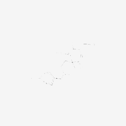 CCCN1C(=O)C(CC(C)C)NC(=O)C12CCN(Cc1ccc(Cl)cc1)CC2